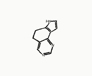 c1ncc2c(n1)-c1cc[nH]c1CC2